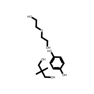 CC(C)(CO)CO.OCCOCCO.Oc1ccc(O)cc1